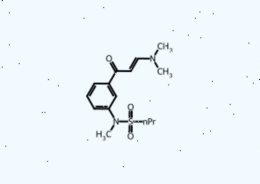 CCCS(=O)(=O)N(C)c1cccc(C(=O)/C=C/N(C)C)c1